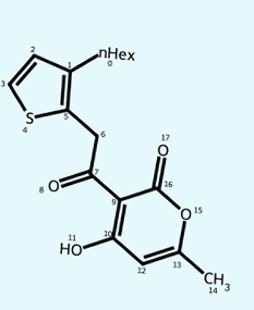 CCCCCCc1ccsc1CC(=O)c1c(O)cc(C)oc1=O